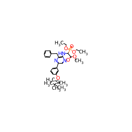 CCOP(=O)(OCC)C(Nc1ncc(-c2cccc(O[Si](C)(C)C(C)(C)C)c2)nc1Cc1ccccc1)C(=O)OC